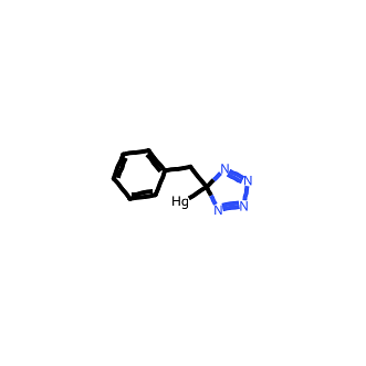 [Hg][C]1(Cc2ccccc2)N=NN=N1